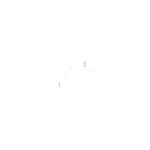 CNC(=O)ON=C(C[S+](C)[O-])C(C)C